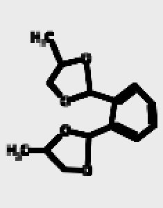 CC1COC(c2ccccc2C2OCC(C)O2)O1